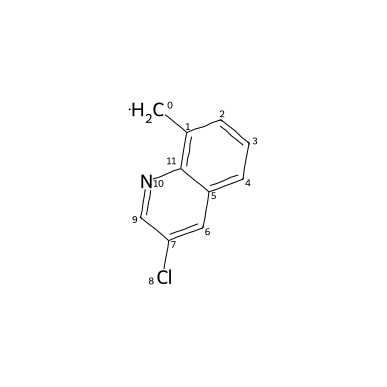 [CH2]c1cccc2cc(Cl)cnc12